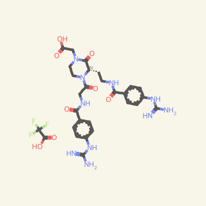 N=C(N)Nc1ccc(C(=O)NCC[C@H]2C(=O)N(CC(=O)O)CCN2C(=O)CNC(=O)c2ccc(NC(=N)N)cc2)cc1.O=C(O)C(F)(F)F